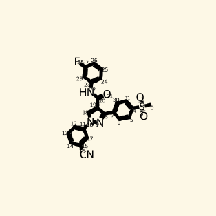 CS(=O)(=O)c1ccc(-c2nn(-c3cccc(C#N)c3)cc2C(=O)Nc2cccc(F)c2)cc1